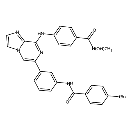 CN(O)C(=O)c1ccc(Nc2nc(-c3cccc(NC(=O)c4ccc(C(C)(C)C)cc4)c3)cn3ccnc23)cc1